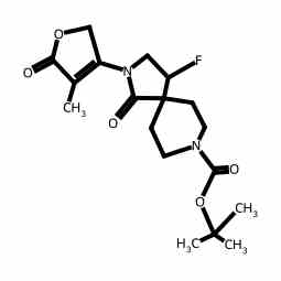 CC1=C(N2CC(F)C3(CCN(C(=O)OC(C)(C)C)CC3)C2=O)COC1=O